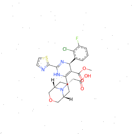 COC(=O)C1=C(CN2[C@@H]3COC[C@H]2C[C@@H](CC(=O)O)C3)NC(c2nccs2)=N[C@H]1c1cccc(F)c1Cl